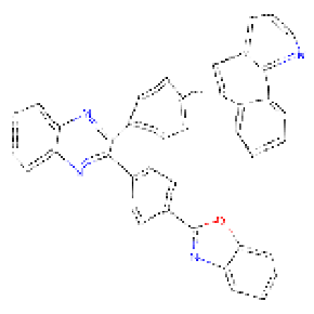 c1cnc2c(c1)cc(-c1ccc(-c3nc4ccccc4nc3-c3ccc(-c4nc5ccccc5o4)cc3)cc1)c1ccccc12